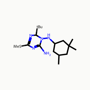 CSC1=NC(C(C)(C)C)N(NC2CC(C)CC(C)(C)C2)C(N)=N1